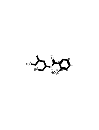 CC(C)CC(CC(C)CC(C)(C)C)OC(=O)c1ccccc1C(=O)O